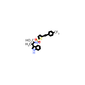 CC(c1c[nH]c2ccccc12)[C@@H](NS(=O)(=O)c1ccc(C#Cc2ccc(C(F)(F)F)cc2)s1)C(=O)O